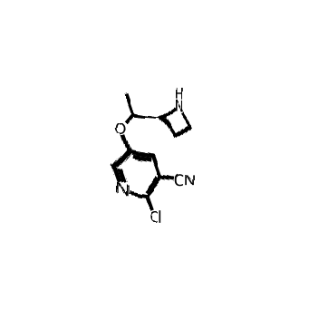 CC(Oc1cnc(Cl)c(C#N)c1)[C@@H]1CCN1